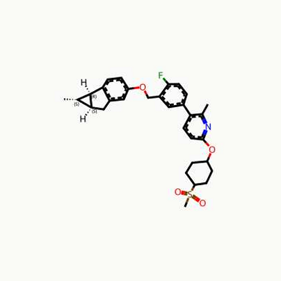 Cc1nc(OC2CCC(S(C)(=O)=O)CC2)ccc1-c1ccc(F)c(COc2ccc3c(c2)C[C@H]2[C@H](C)[C@@H]32)c1